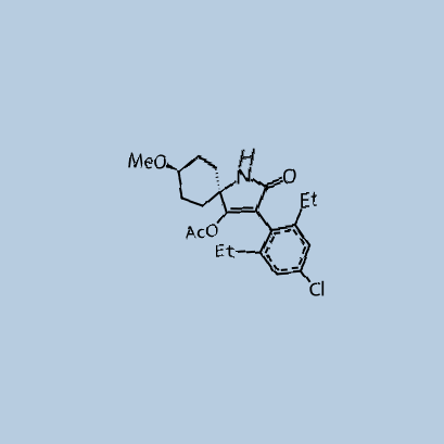 CCc1cc(Cl)cc(CC)c1C1=C(OC(C)=O)[C@]2(CC[C@H](OC)CC2)NC1=O